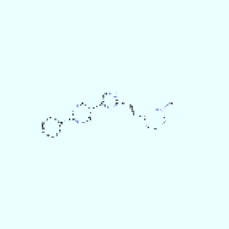 FC(F)(F)CN1CCCC(C=Cc2nc(-c3cnc(-c4ccccc4)nc3)c[nH]2)C1